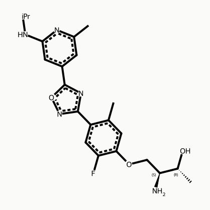 Cc1cc(-c2nc(-c3cc(F)c(OC[C@H](N)[C@@H](C)O)cc3C)no2)cc(NC(C)C)n1